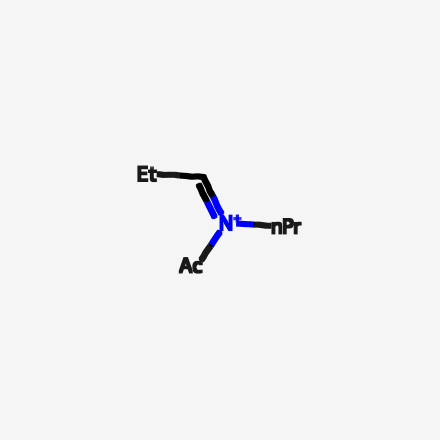 CC/C=[N+](/CCC)C(C)=O